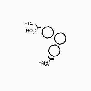 C1CCCCCCCCC1.C1CCCCCCCCC1.C1CCCCCCCCC1.C=C(C)C(=O)O.C=C(C)C(=O)O.CO.CO